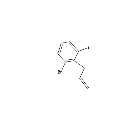 C=CCc1c(Br)cccc1I